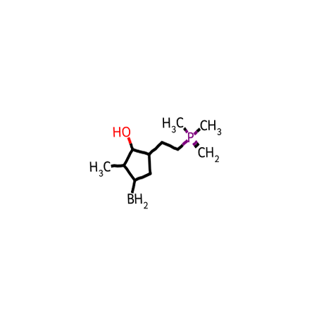 BC1CC(CCP(=C)(C)C)C(O)C1C